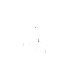 Cc1c(C)n(Cc2ccccn2)c2nc3c(c(N)c12)CCCC3